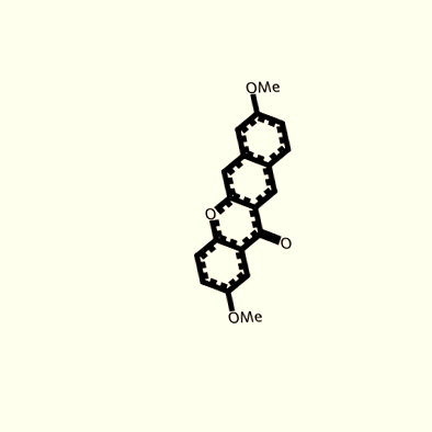 COc1ccc2cc3c(=O)c4cc(OC)ccc4oc3cc2c1